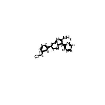 Nc1nn2cc(-c3cccc(CCl)c3)cnc2c1-c1ccccn1